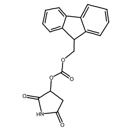 O=C1CC(OC(=O)OCC2c3ccccc3-c3ccccc32)C(=O)N1